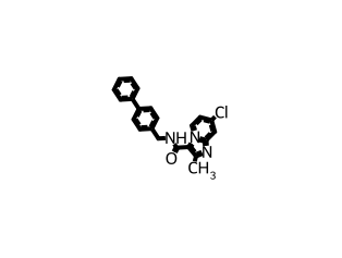 Cc1nc2cc(Cl)ccn2c1C(=O)NCc1ccc(-c2ccccc2)cc1